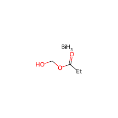 CCC(=O)OCO.[BiH3]